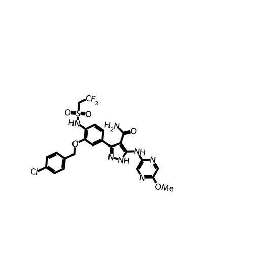 COc1cnc(Nc2[nH]nc(-c3ccc(NS(=O)(=O)CC(F)(F)F)c(OCc4ccc(Cl)cc4)c3)c2C(N)=O)cn1